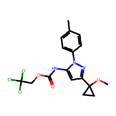 COC1(c2cc(NC(=O)OCC(Cl)(Cl)Cl)n(-c3ccc(C)cc3)n2)CC1